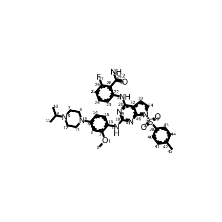 COc1cc(N2CCN(C(C)C)CC2)ccc1Nc1nc(Nc2cccc(F)c2C(N)=O)c2ccn(S(=O)(=O)c3ccc(C)cc3)c2n1